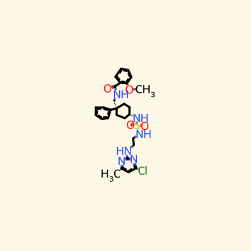 COc1ccccc1C(=O)NC[C@]1(c2ccccc2)CC[C@H](NS(=O)(=O)NCCNc2nc(C)cc(Cl)n2)CC1